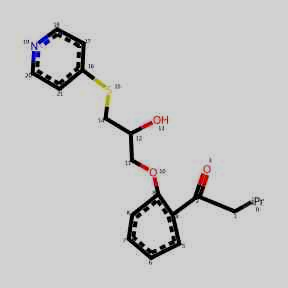 CC(C)CC(=O)c1ccccc1OCC(O)CSc1ccncc1